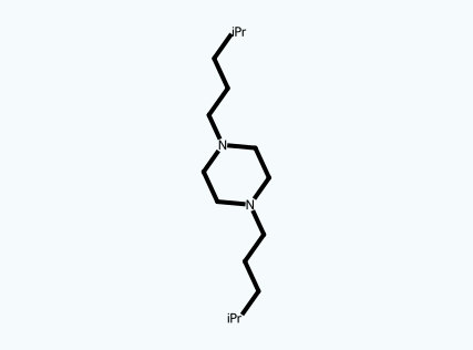 CC(C)CCCN1CCN(CCCC(C)C)CC1